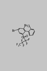 O=S(=O)(c1cc(Br)[c]c(Br)c1-c1ccccc1Cl)C(F)(F)C(F)(F)C(F)(F)F